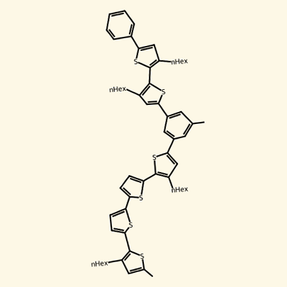 CCCCCCc1cc(C)sc1-c1ccc(-c2ccc(-c3sc(-c4cc(C)cc(-c5cc(CCCCCC)c(-c6sc(-c7ccccc7)cc6CCCCCC)s5)c4)cc3CCCCCC)s2)s1